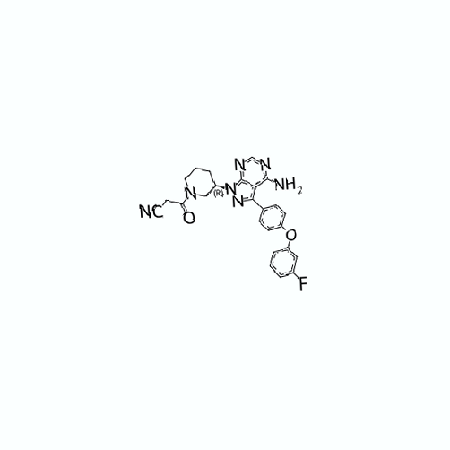 N#CCC(=O)N1CCC[C@@H](n2nc(-c3ccc(Oc4cccc(F)c4)cc3)c3c(N)ncnc32)C1